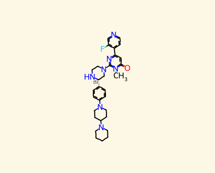 Cn1c(N2CCN[C@@H](c3ccc(N4CCC(N5CCCCC5)CC4)cc3)C2)nc(-c2ccncc2F)cc1=O